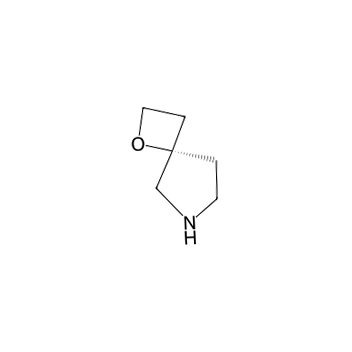 C1C[C@]2(CCO2)CN1